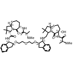 CN[C@@H](C)C(=S)N[C@H]1CCS[C@H]2CC(C)(C)[C@@H](C(=O)N[C@H]3c4ccccc4C[C@H]3OCCOCCO[C@@H]3Cc4ccccc4[C@@H]3NCC3N4C(=O)[C@](O)(NC(=S)[C@H](C)NC)CCS[C@H]4CC3(C)C)N2C1=O